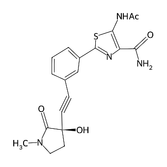 CC(=O)Nc1sc(-c2cccc(C#C[C@]3(O)CCN(C)C3=O)c2)nc1C(N)=O